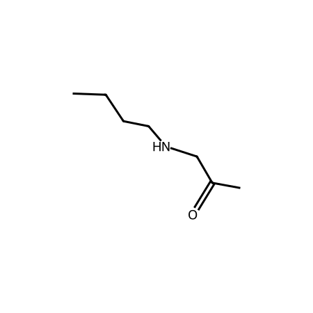 CCCCNCC(C)=O